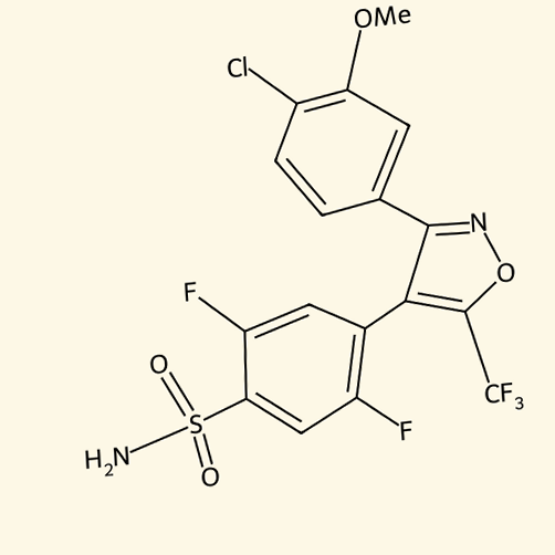 COc1cc(-c2noc(C(F)(F)F)c2-c2cc(F)c(S(N)(=O)=O)cc2F)ccc1Cl